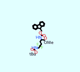 COC(=O)C(CCC(F)(F)CNC(=O)OC(C)(C)C)NC(=O)OCC1c2ccccc2-c2ccccc21